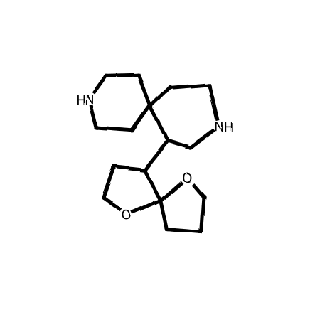 C1COC2(C1)OCCC2C1CNCCC12CCNCC2